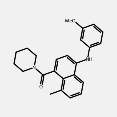 COc1cccc(Nc2ccc(C(=O)N3CCCCC3)c3c(C)cccc23)c1